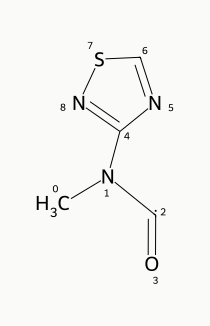 CN([C]=O)c1ncsn1